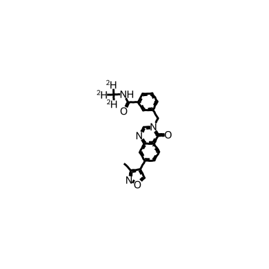 [2H]C([2H])([2H])NC(=O)c1cccc(Cn2cnc3cc(-c4conc4C)ccc3c2=O)c1